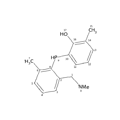 CNCc1cccc(C)c1Pc1cccc(C)c1O